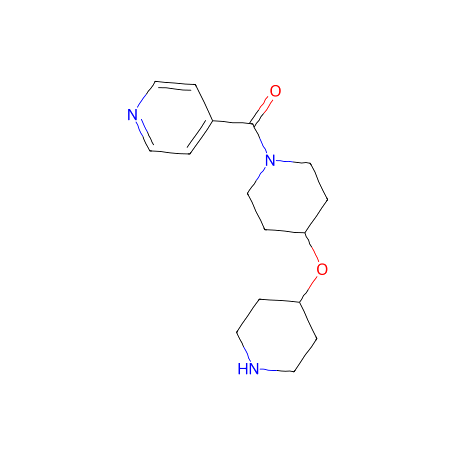 O=C(c1ccncc1)N1CCC(OC2CCNCC2)CC1